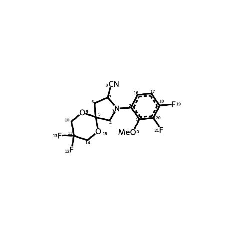 COc1c(N2CC3(CC2C#N)OCC(F)(F)CO3)ccc(F)c1F